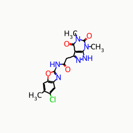 Cc1cc2oc(NC(=O)Cc3n[nH]c4c3c(=O)n(C)c(=O)n4C)nc2cc1Cl